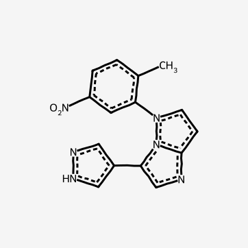 Cc1ccc([N+](=O)[O-])cc1-n1ccc2ncc(-c3cn[nH]c3)n21